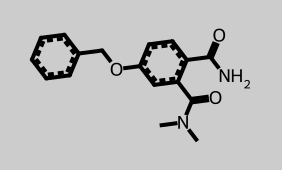 CN(C)C(=O)c1cc(OCc2ccccc2)ccc1C(N)=O